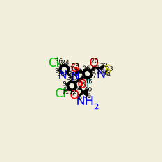 NC(=O)C1(COC2(c3ccc(Cl)cc3)c3c(F)cc(C(=O)c4cscn4)cc3C(=O)N2Cc2ccc(Cl)cn2)CC1